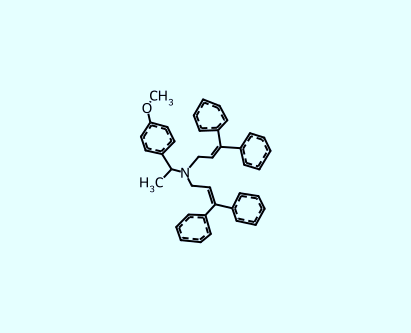 COc1ccc(C(C)N(CC=C(c2ccccc2)c2ccccc2)CC=C(c2ccccc2)c2ccccc2)cc1